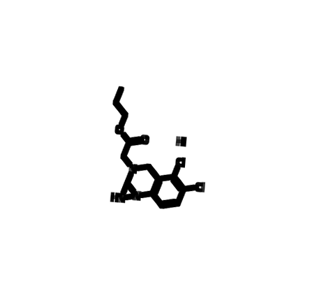 CCCOC(=O)CN1Cc2c(ccc(Cl)c2Cl)N2NC12.I